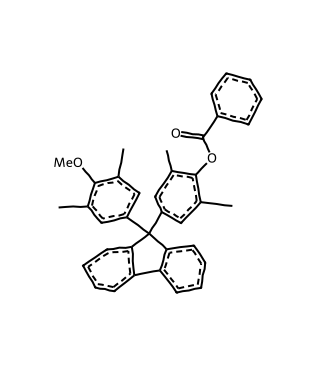 COc1c(C)cc(C2(c3cc(C)c(OC(=O)c4ccccc4)c(C)c3)c3ccccc3-c3ccccc32)cc1C